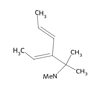 CC=CC(=CC)C(C)(C)NC